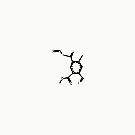 COC(=O)c1cc(C(=O)OC=O)c(C)cc1C=O